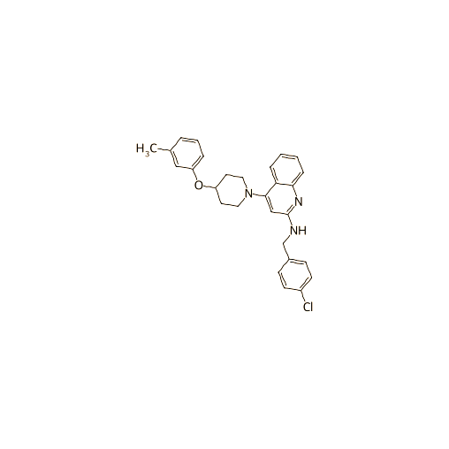 Cc1cccc(OC2CCN(c3cc(NCc4ccc(Cl)cc4)nc4ccccc34)CC2)c1